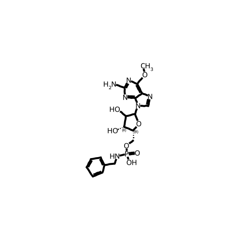 COc1nc(N)nc2c1ncn2C1O[C@H](COP(=O)(O)NCc2ccccc2)[C@H](O)C1O